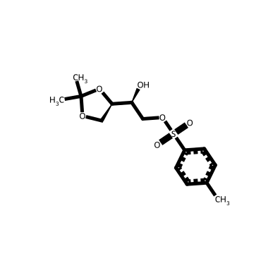 Cc1ccc(S(=O)(=O)OC[C@H](O)[C@H]2COC(C)(C)O2)cc1